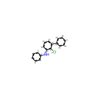 Clc1c(Nc2ccccc2)cccc1-c1ccccc1